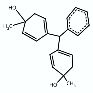 CC1(O)C=CC(C(C2=CCC(C)(O)C=C2)c2ccccc2)=CC1